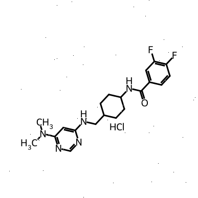 CN(C)c1cc(NCC2CCC(NC(=O)c3ccc(F)c(F)c3)CC2)ncn1.Cl